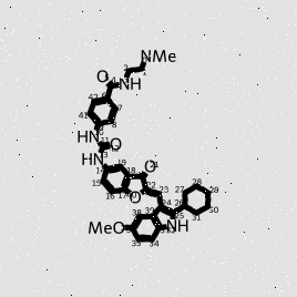 CNCCNC(=O)c1ccc(NC(=O)Nc2ccc3c(c2)C(=O)C(=Cc2c(C4CCCCC4)[nH]c4ccc(OC)cc24)O3)cc1